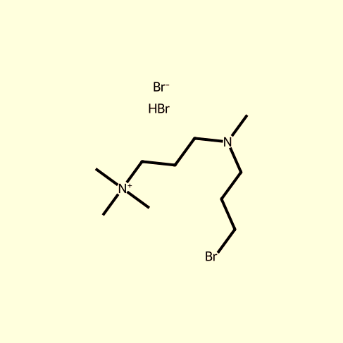 Br.CN(CCCBr)CCC[N+](C)(C)C.[Br-]